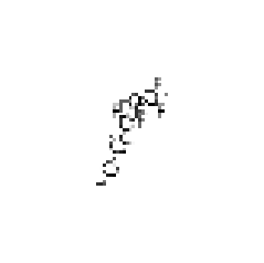 C=CC1CCC(c2cc(C)c(-c3cc(F)c(C(F)(F)Oc4cc(F)c(C)c(F)c4)c(F)c3)c(C)c2)CC1